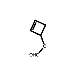 O=[C]OC1C=CC1